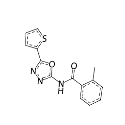 Cc1ccccc1C(=O)Nc1nnc(-c2cccs2)o1